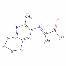 CCCC/C(=N\c1cc2c(nc1C)CCCC2)C(=O)C(C)CC